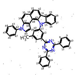 Cc1cc(-c2nc(-c3ccccc3)nc(-c3ccccc3)n2)cc(-n2c3ccccc3c3ccc4ccc5c(ccn5-c5ccccc5)c4c32)c1